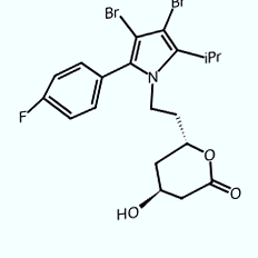 CC(C)c1c(Br)c(Br)c(-c2ccc(F)cc2)n1CC[C@H]1C[C@H](O)CC(=O)O1